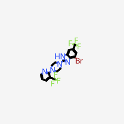 FC(F)(F)c1cc(Br)c2nc(N3CCN(c4ncccc4C(F)(F)F)CC3)[nH]c2c1